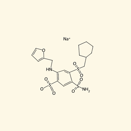 NS(=O)(=O)c1cc(S(=O)(=O)[O-])c(NCc2ccco2)cc1S(=O)(=O)CC1CCCCC1.[Na+]